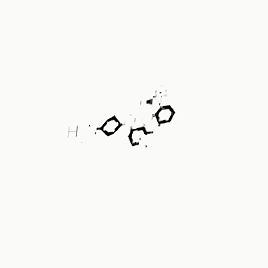 Nc1ccc(Oc2ccnc(Cl)c2Oc2ccccc2[N+](=O)[O-])cc1